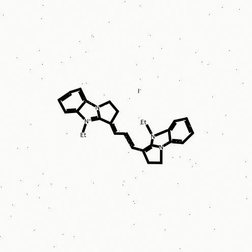 CCN1C2=C(C=CC=C3CCn4c3[n+](CC)c3ccccc34)CCN2c2ccccc21.[I-]